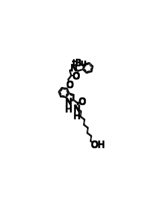 CC(C)(C)N1CC(COc2cccc3[nH]c(C(=O)NCCCCCCCCO)cc23)OC1c1ccccc1